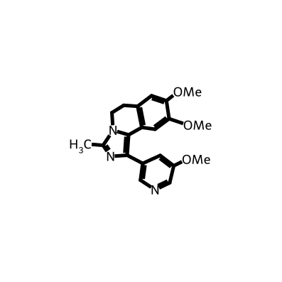 COc1cncc(-c2nc(C)n3c2-c2cc(OC)c(OC)cc2CC3)c1